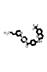 CCCc1ccnc(N2CCN(C(=O)c3ccc(Nc4ccc5ccc(C(F)(F)F)cc5n4)cc3)CC2)c1